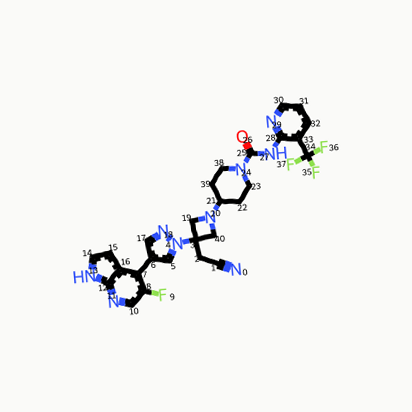 N#CCC1(n2cc(-c3c(F)cnc4[nH]ccc34)cn2)CN(C2CCN(C(=O)Nc3ncccc3C(F)(F)F)CC2)C1